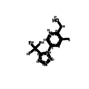 Cc1cc(-n2nnnc2C(F)(F)F)cnc1CO